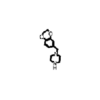 c1cc2c(cc1CN1CCNCC1)OCCO2